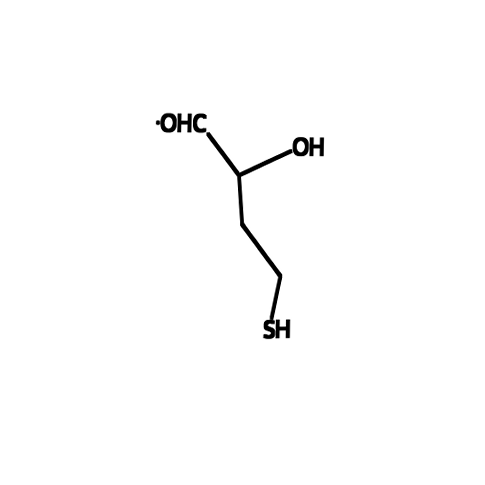 O=[C]C(O)CCS